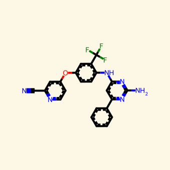 N#Cc1cc(Oc2ccc(Nc3cc(-c4ccccc4)nc(N)n3)c(C(F)(F)F)c2)ccn1